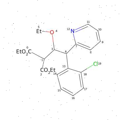 CCOC(=O)C(C(=O)OCC)C(OCC)C(c1ccccn1)c1ccccc1Cl